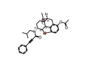 CC(=O)Oc1ccc2c3c1C[C@@H]1[C@@H]4CC[C@@H](N(CC(C)C)C(=O)C#Cc5ccccc5)[C@H](O2)[C@]34CCN1C